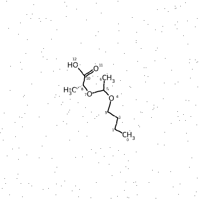 CCCCOC(C)O[C@H](C)C(=O)O